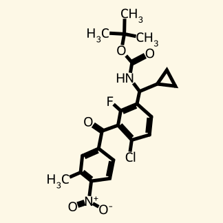 Cc1cc(C(=O)c2c(Cl)ccc(C(NC(=O)OC(C)(C)C)C3CC3)c2F)ccc1[N+](=O)[O-]